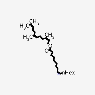 CCCCCC/C=C\CCCCCCCC(=O)OCC=C(C)CCC=C(C)CCC=C(C)C